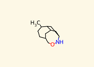 CC1CCC2CONC3CC(C2)C1C3